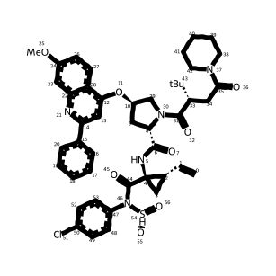 C=C[C@@H]1C[C@]1(NC(=O)[C@@H]1C[C@@H](Oc2cc(-c3ccccc3)nc3cc(OC)ccc23)CN1C(=O)[C@@H](CC(=O)N1CCCCC1)C(C)(C)C)C(=O)N(c1ccc(Cl)cc1)[SH](=O)=O